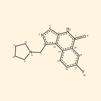 O=c1[nH]c2snc(CN3CCCC3)c2c2ccc(F)cc12